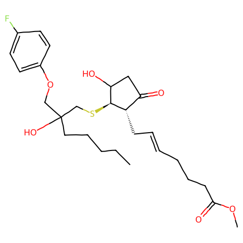 CCCCCC(O)(COc1ccc(F)cc1)CS[C@H]1C(O)CC(=O)[C@@H]1CC=CCCCC(=O)OC